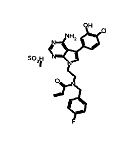 C=CC(=O)N(CCn1cc(-c2ccc(Cl)c(O)c2)c2c(N)ncnc21)Cc1ccc(F)cc1.CS(=O)(=O)O